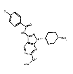 CCCCNc1ncc2c(NC(=O)c3ccc(F)cc3)nn([C@H]3CC[C@H](N)CC3)c2n1